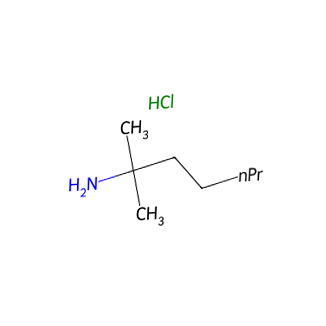 CCCCCC(C)(C)N.Cl